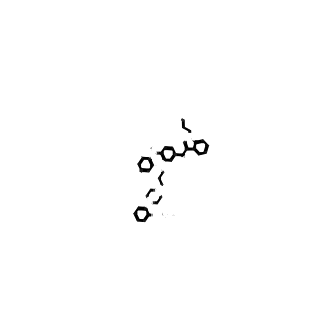 CCOC(=O)CCCn1cc(C(=O)c2ccc(N(C)c3ccc(CC)cc3)c(OCCCN3CCN(c4ccccc4OC)CC3)c2)c2ccccc21.Cl